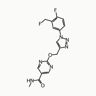 CNC(=O)c1cnc(OCc2cn(-c3ccc(F)c(CF)c3)nn2)nc1